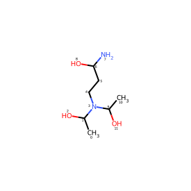 CC(O)N(CCC(N)O)C(C)O